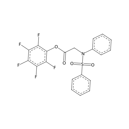 O=C(CN(c1ccccc1)S(=O)(=O)c1ccccc1)Oc1c(F)c(F)c(F)c(F)c1F